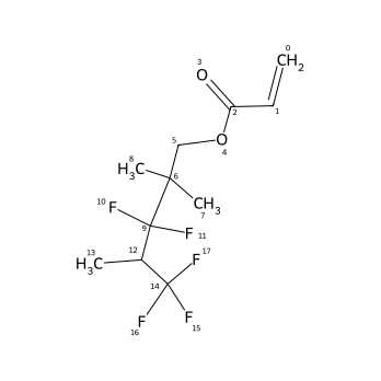 C=CC(=O)OCC(C)(C)C(F)(F)C(C)C(F)(F)F